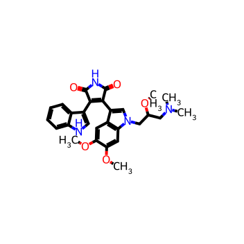 COc1cc2c(C3=C(c4c[nH]c5ccccc45)C(=O)NC3=O)cn(CC(CN(C)C)OC)c2cc1OC